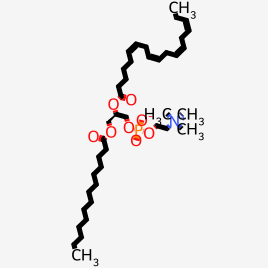 CC/C=C\C/C=C\C/C=C\C/C=C\CCCCC(=O)O[C@H](COC(=O)CCCCCCCCCCCCC)COP(=O)([O-])OCC[N+](C)(C)C